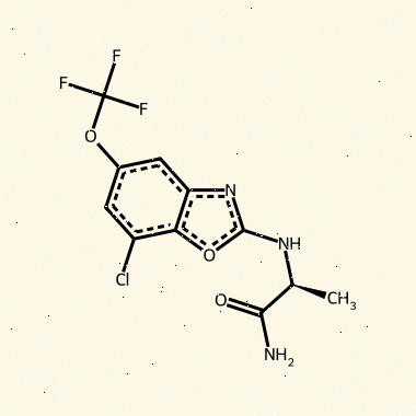 C[C@H](Nc1nc2cc(OC(F)(F)F)cc(Cl)c2o1)C(N)=O